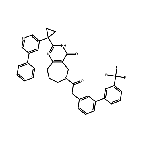 O=C(Cc1cccc(-c2cccc(C(F)(F)F)c2)c1)N1CCCc2nc(C3(c4cncc(-c5ccccc5)c4)CC3)[nH]c(=O)c2C1